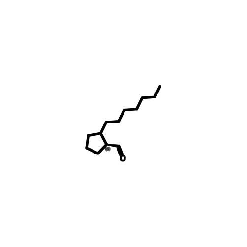 CCCCCCCC1CCC[C@@H]1C=O